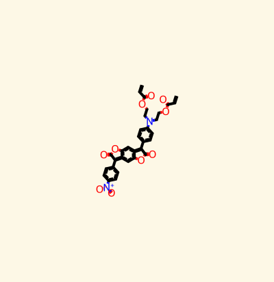 C=CC(=O)OCCN(CCOC(=O)C=C)c1ccc(C2=c3cc4c(cc3OC2=O)=C(c2ccc([N+](=O)[O-])cc2)C(=O)O4)cc1